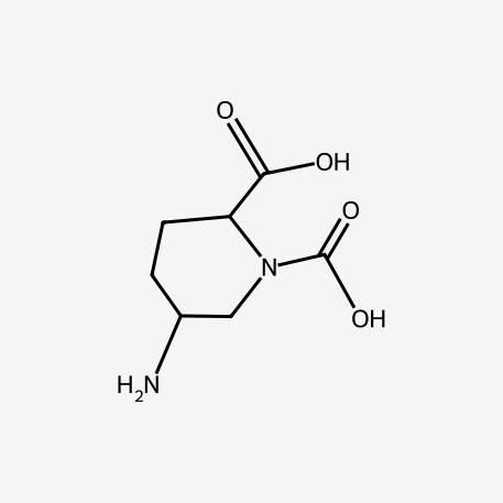 NC1CCC(C(=O)O)N(C(=O)O)C1